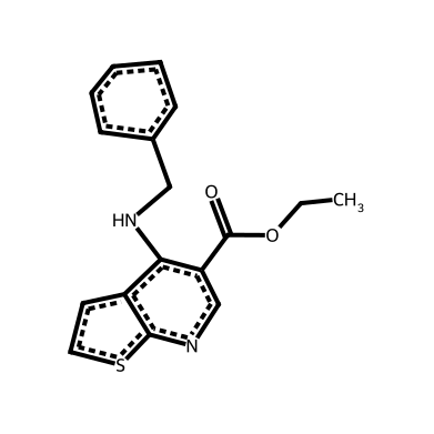 CCOC(=O)c1cnc2sccc2c1NCc1ccccc1